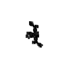 CCN(CCn1cc[n+](C)c1)c1ccc(Nc2cc(O)c(N)nc2Nc2ccc(N(CC)CCn3cc[n+](C)c3)cc2)cc1